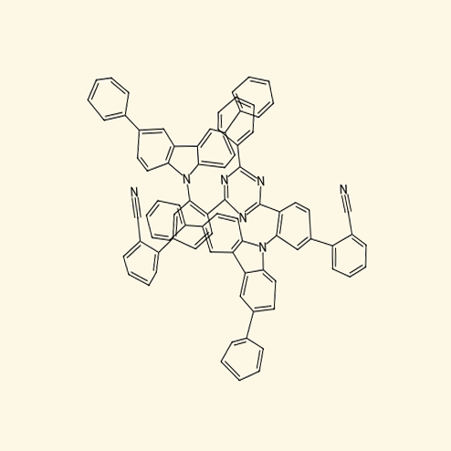 N#Cc1ccccc1-c1ccc(-c2nc(-c3ccccc3)nc(-c3ccc(-c4ccccc4C#N)cc3-n3c4ccc(-c5ccccc5)cc4c4cc(-c5ccccc5)ccc43)n2)c(-n2c3ccc(-c4ccccc4)cc3c3cc(-c4ccccc4)ccc32)c1